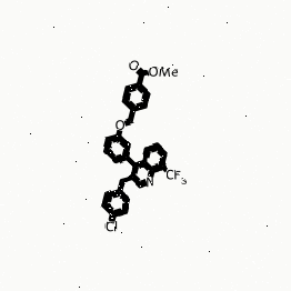 COC(=O)c1ccc(COc2cccc(-c3c(Cc4ccc(Cl)cc4)cnc4c(C(F)(F)F)cccc34)c2)cc1